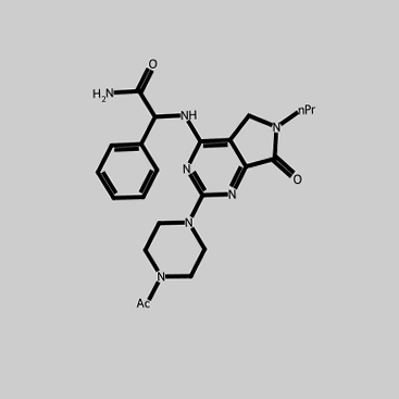 CCCN1Cc2c(NC(C(N)=O)c3ccccc3)nc(N3CCN(C(C)=O)CC3)nc2C1=O